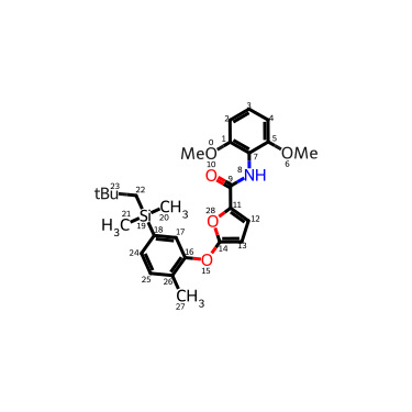 COc1cccc(OC)c1NC(=O)c1ccc(Oc2cc([Si](C)(C)CC(C)(C)C)ccc2C)o1